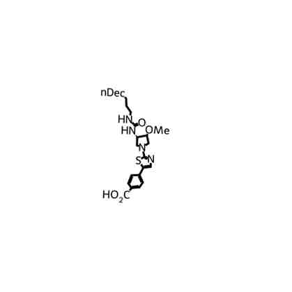 CCCCCCCCCCCCCNC(=O)N[C@H]1CN(c2ncc(-c3ccc(C(=O)O)cc3)s2)C[C@@H]1OC